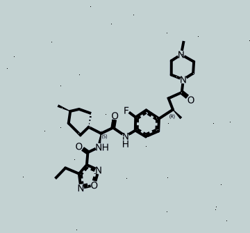 CCc1nonc1C(=O)N[C@H](C(=O)Nc1ccc([C@H](C)CC(=O)N2CCN(C)CC2)cc1F)[C@H]1CC[C@H](C)CC1